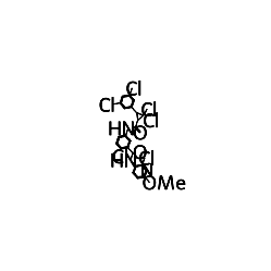 COc1ccc(NC(=O)c2cc(NC(=O)C3C(c4cc(Cl)cc(Cl)c4)C3(Cl)Cl)ccc2Cl)c(Cl)n1